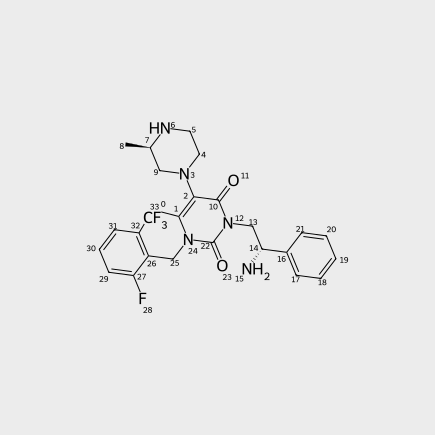 Cc1c(N2CCN[C@H](C)C2)c(=O)n(C[C@@H](N)c2ccccc2)c(=O)n1Cc1c(F)cccc1C(F)(F)F